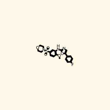 COc1ccc(S(=O)(=O)N2CCOCC2)cc1Nc1ncc(-c2ccc(F)cc2)o1